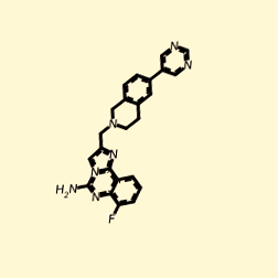 Nc1nc2c(F)cccc2c2nc(CN3CCc4cc(-c5cncnc5)ccc4C3)cn12